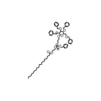 CCCCCCCCCCCCCCCCCC(=O)OCCOP(=O)(OCCCOC1OC(COCc2ccccc2)C(OCc2ccccc2)C(OCc2ccccc2)C1OCc1ccccc1)OCc1ccccc1